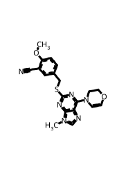 COc1ccc(CSc2nc(N3C=COCC3)c3ncn(C)c3n2)cc1C#N